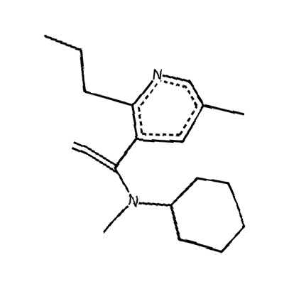 C=C(c1cc(C)cnc1CCC)N(C)C1CCCCC1